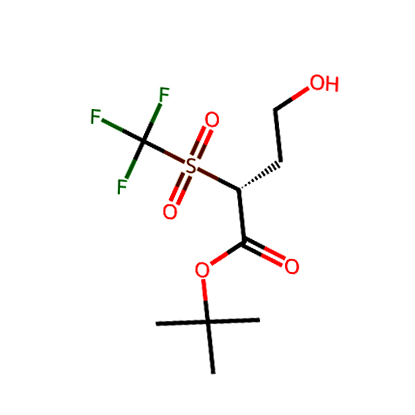 CC(C)(C)OC(=O)[C@@H](CCO)S(=O)(=O)C(F)(F)F